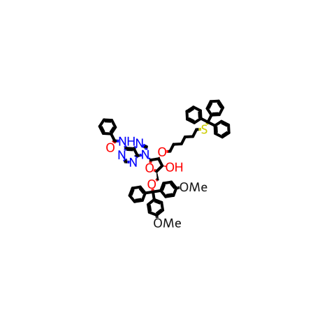 COc1ccc(C(OC[C@H]2O[C@@H](n3cnc4c(NC(=O)c5ccccc5)ncnc43)[C@H](OCCCCCCSC(c3ccccc3)(c3ccccc3)c3ccccc3)[C@@H]2O)(c2ccccc2)c2ccc(OC)cc2)cc1